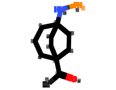 CCC(=O)C12CCCC(NP)(CC1)CC2